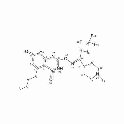 CCCCc1cc(=O)oc2nc(O/N=C(\CCC(F)(F)F)N3CCN(C)CC3)[nH]c(=O)c12